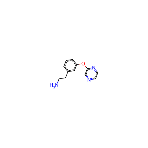 NCCc1cccc(Oc2cnccn2)c1